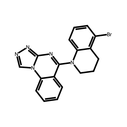 Brc1cccc2c1CCCN2c1nc2nncn2c2ccccc12